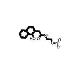 O=C(Cc1ccc2ccccc2c1O)NCCO[N+](=O)[O-]